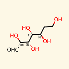 O=C[C@H](O)[C@@H](O)[C@H](O)[C@H](O)CCO